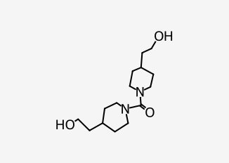 O=C(N1CCC(CCO)CC1)N1CCC(CCO)CC1